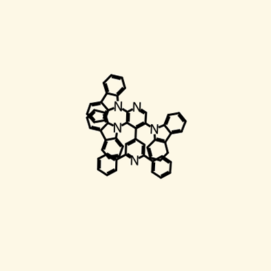 C1=Cc2c(c3ccccc3n2-c2cnc(-n3c4ccccc4c4ccccc43)c(-n3c4ccccc4c4ccccc43)c2-c2cc(-c3ccccc3)nc(-c3ccccc3)c2)CC1